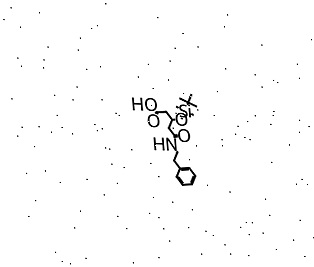 CC(C)(C)[Si](C)(C)OC(CC(=O)O)CC(=O)NCCc1ccccc1